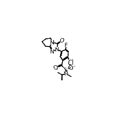 CC(C)N(C)[S+]([O-])C(=O)c1cc(-n2nc3n(c2=O)CCCC3)c(F)cc1Cl